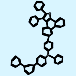 c1ccc(-c2cccc(-c3ccc(N(c4ccccc4)c4ccc(-c5ccc6c(c5)c5ccccc5c5oc(-c7ccccc7)c(-c7ccccc7)c65)cc4)cc3)c2)cc1